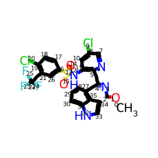 COC/N=C(/c1ncc(Cl)cc1NS(=O)(=O)c1ccc(Cl)c(C(F)(F)F)c1)c1cccc2[nH]ccc12